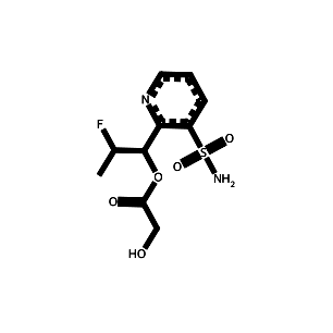 CC(F)C(OC(=O)CO)c1ncccc1S(N)(=O)=O